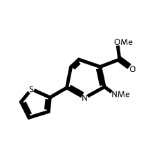 CNc1nc(-c2cccs2)ccc1C(=O)OC